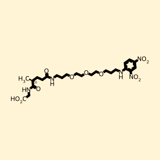 C[C@@H](CCC(=O)NCCCOCCOCCOCCCNc1ccc([N+](=O)[O-])cc1[N+](=O)[O-])C(=O)NCC(=O)O